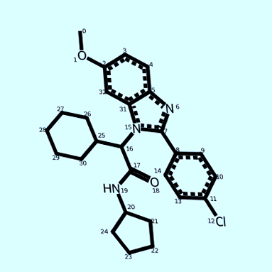 COc1ccc2nc(-c3ccc(Cl)cc3)n(C(C(=O)NC3CCCC3)C3CCCCC3)c2c1